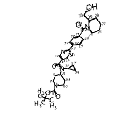 CC(C)(C)OC(=O)N1CCC(N(C(=O)c2cnc(-c3ccc(C(=O)N4CCCCC4CO)cc3)nc2)C2CC2)CC1